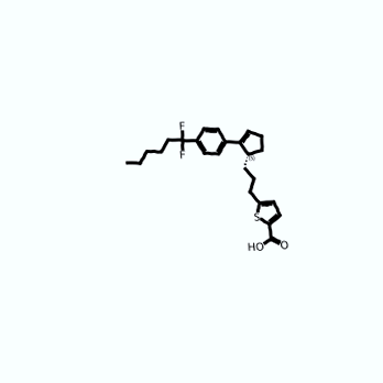 CCCCCC(F)(F)c1ccc(C2=CCC[C@@H]2CCCc2ccc(C(=O)O)s2)cc1